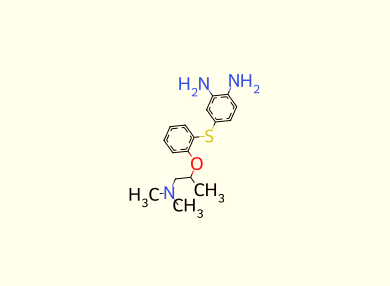 CC(CN(C)C)Oc1ccccc1Sc1ccc(N)c(N)c1